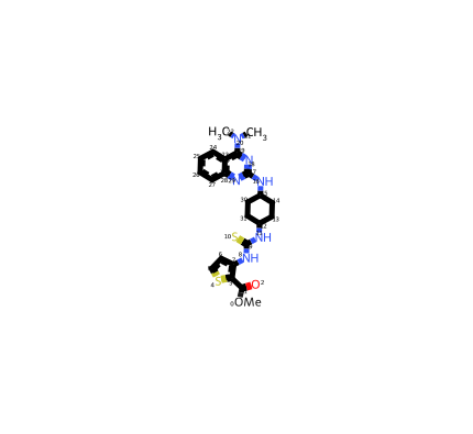 COC(=O)c1sccc1NC(=S)NC1CCC(Nc2nc(N(C)C)c3ccccc3n2)CC1